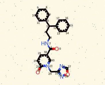 O=C(NCCC(c1ccccc1)c1ccccc1)c1ccc(=O)n(Cc2ncon2)c1